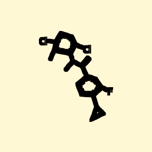 C=C(c1ccc(C2CC2)c(F)c1)C(C)c1c(Cl)ccc(Cl)c1C